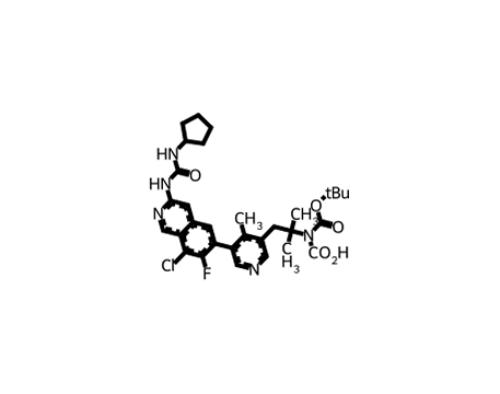 Cc1c(CC(C)(C)N(C(=O)O)C(=O)OC(C)(C)C)cncc1-c1cc2cc(NC(=O)NC3CCCC3)ncc2c(Cl)c1F